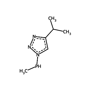 CPn1cc(C(C)C)nn1